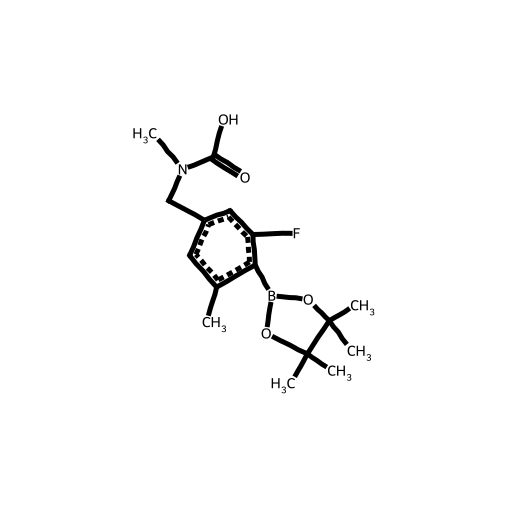 Cc1cc(CN(C)C(=O)O)cc(F)c1B1OC(C)(C)C(C)(C)O1